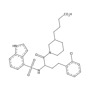 O=C(O)CCCC1CCCN(C(=O)C(CCc2ccccc2Cl)NS(=O)(=O)c2cccc3[nH]ccc23)C1